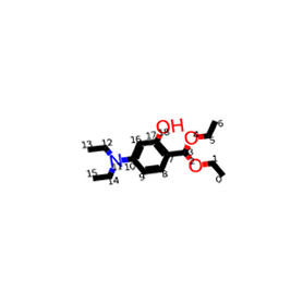 CCOC(OCC)c1ccc(N(CC)CC)cc1O